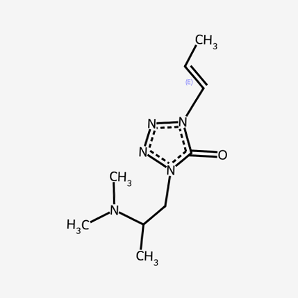 C/C=C/n1nnn(CC(C)N(C)C)c1=O